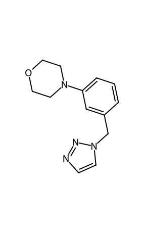 c1cc(Cn2ccnn2)cc(N2CCOCC2)c1